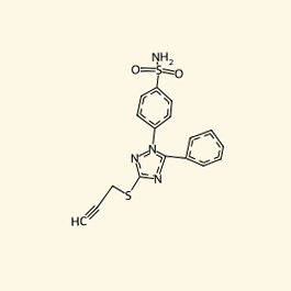 C#CCSc1nc(-c2ccccc2)n(-c2ccc(S(N)(=O)=O)cc2)n1